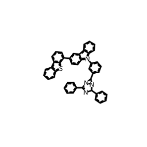 c1ccc(C2=NC(c3ccccc3)N3C(c4cccc(-n5c6ccccc6c6cc(-c7cccc8c7sc7ccccc78)ccc65)c4)N23)cc1